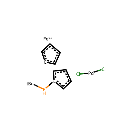 CC(C)(C)P[c-]1cccc1.[Cl][Pd][Cl].[Fe+2].c1cc[cH-]c1